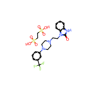 O=S(=O)(O)CCS(=O)(=O)O.O=c1[nH]c2ccccc2n1CCN1CCN(c2cccc(C(F)(F)F)c2)CC1